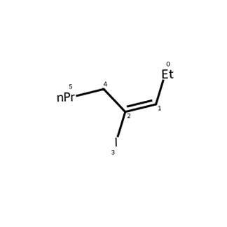 CC/C=C(/I)CCCC